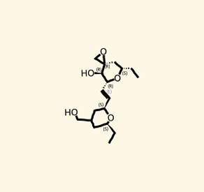 CC[C@H]1CC(CO)C[C@@H](/C=C/[C@H]2O[C@@H](CC)C[C@@]3(CO3)[C@@H]2O)O1